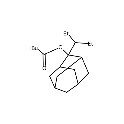 CCC(C)C(=O)OC1(C(CC)CC)C2CC3CC(C2)CC1C3